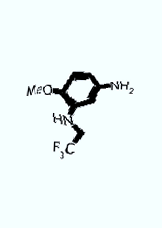 COc1ccc(N)cc1NCC(F)(F)F